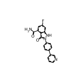 NC(=O)c1cc(F)cc2[nH]n(-c3ccc(-c4cccnc4)cc3)c(=O)c12